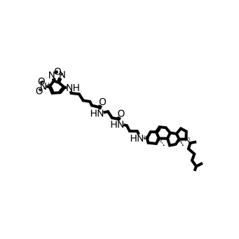 CC(C)CCCC(C)[C@H]1CCC2C3CC=C4C[C@@H](NCCCNC(=O)CCNC(=O)CCCCCNc5ccc([N+](=O)[O-])c6nonc56)CC[C@]4(C)C3CC[C@@]21C